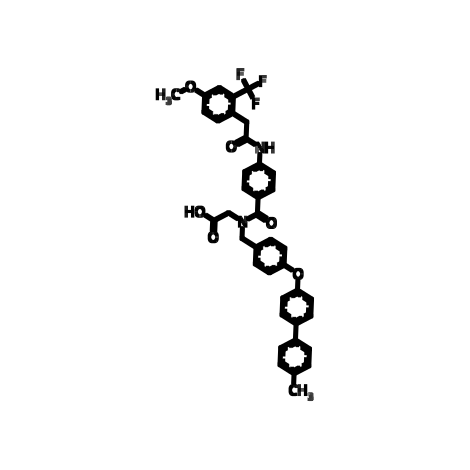 COc1ccc(CC(=O)Nc2ccc(C(=O)N(CC(=O)O)Cc3ccc(Oc4ccc(-c5ccc(C)cc5)cc4)cc3)cc2)c(C(F)(F)F)c1